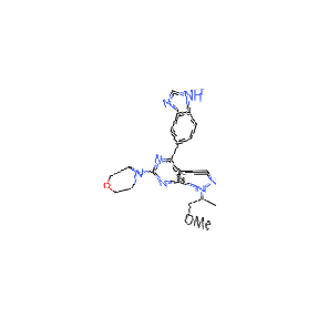 COCC(C)n1ncc2c(-c3ccc4[nH]cnc4c3)nc(N3CCOCC3)nc21